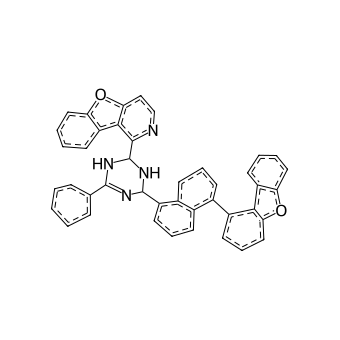 c1ccc(C2=NC(c3cccc4c(-c5cccc6oc7ccccc7c56)cccc34)NC(c3nccc4oc5ccccc5c34)N2)cc1